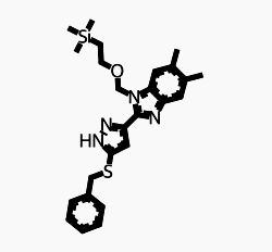 Cc1cc2nc(-c3cc(SCc4ccccc4)[nH]n3)n(COCC[Si](C)(C)C)c2cc1C